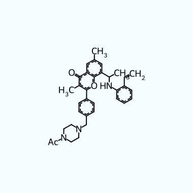 C=Cc1ccccc1NC(C)c1cc(C)cc2c(=O)c(C)c(-c3ccc(CN4CCN(C(C)=O)CC4)cc3)oc12